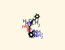 CC(C)(CCc1ccccc1)NCC(O)COc1cccc(N)c1CN